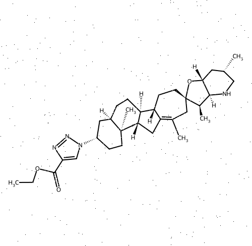 CCOC(=O)c1cn([C@H]2CC[C@@]3(C)[C@H](CC[C@H]4[C@@H]5CC[C@@]6(CC(C)=C5C[C@@H]43)O[C@@H]3C[C@H](C)CN[C@H]3[C@H]6C)C2)nn1